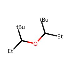 CCC(OC(CC)C(C)(C)C)C(C)(C)C